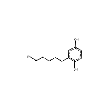 CC(C)CCCCCc1cc(O)ccc1O